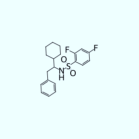 O=S(=O)(NC(Cc1ccccc1)C1CCCCC1)c1ccc(F)cc1F